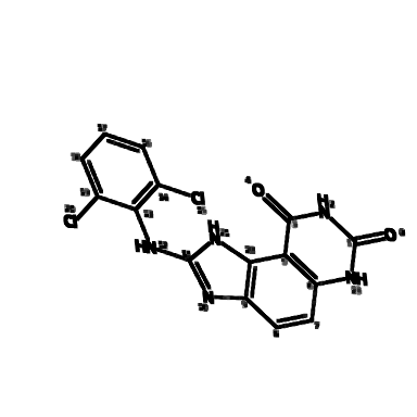 O=c1[nH]c(=O)c2c(ccc3nc(Nc4c(Cl)cccc4Cl)[nH]c32)[nH]1